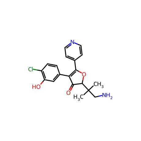 CC(C)(CN)C1OC(c2ccncc2)=C(c2ccc(Cl)c(O)c2)C1=O